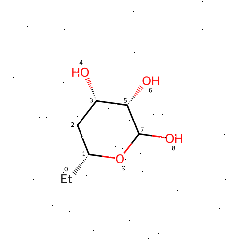 CC[C@@H]1C[C@H](O)[C@H](O)C(O)O1